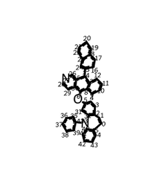 C1=Cc2ccc(Oc3c4ccccc4c(-c4ccc5ccccc5c4)c4cnccc34)cc2N(c2ccccc2)c2ccccc21